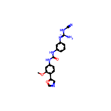 COc1cc(NC(=O)Nc2cccc(/N=C(\N)NC#N)c2)ccc1-c1cnco1